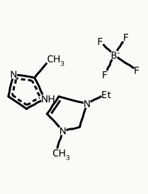 CCN1C=CN(C)C1.Cc1ncc[nH]1.F[B-](F)(F)F